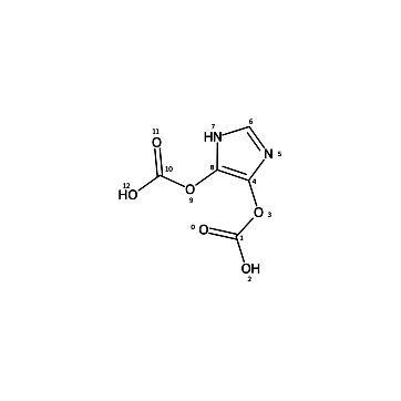 O=C(O)Oc1nc[nH]c1OC(=O)O